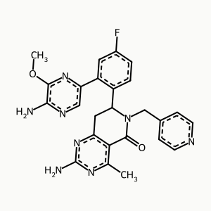 COc1nc(-c2cc(F)ccc2C2Cc3nc(N)nc(C)c3C(=O)N2Cc2ccncc2)cnc1N